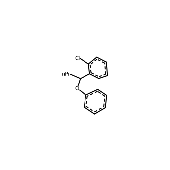 CCCC(Oc1ccccc1)c1ccccc1Cl